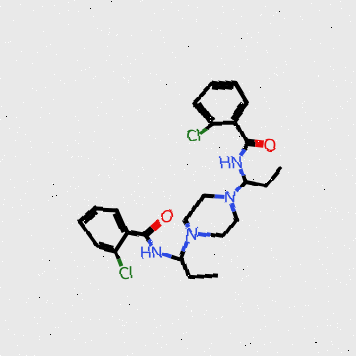 CCC(NC(=O)c1ccccc1Cl)N1CCN(C(CC)NC(=O)c2ccccc2Cl)CC1